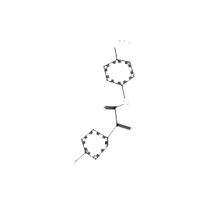 COc1ccc(NC(=O)C(=O)c2ccc(Cl)cc2)cc1